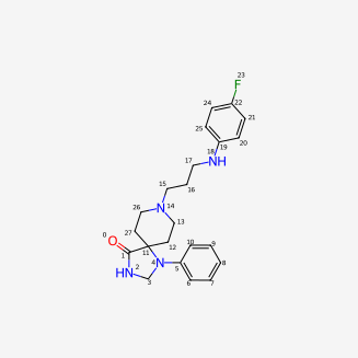 O=C1NCN(c2ccccc2)C12CCN(CCCNc1ccc(F)cc1)CC2